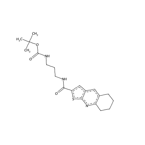 CC(C)(C)OC(=O)NCCCNC(=O)c1cc2cc3c(nc2s1)CCCC3